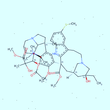 CC[C@]1(O)C[C@@H]2CN(CCc3c([nH]c4ccc(SC)cc34)[C@@](C(=O)OC)(c3cc([C@]4(C)CCN5CC=C[C@@](CC)([C@@H](OC(C)=O)C(C)(O)C(=O)OC)C54)c(N(C)C)cc3OC)C2)C1